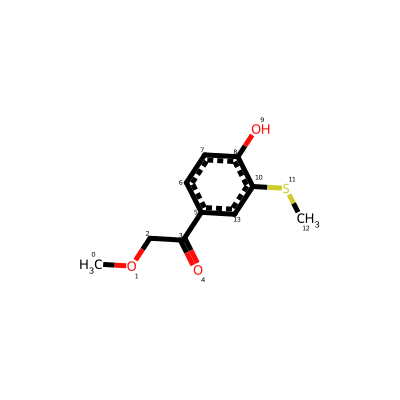 COCC(=O)c1ccc(O)c(SC)c1